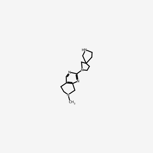 CN1CCc2cnc(N3CCC4(CCNC4)C3)nc2C1